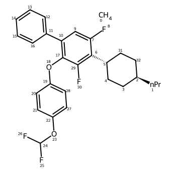 C.CCC[C@H]1CC[C@H](c2c(F)cc(-c3ccccc3)c(Oc3ccc(OC(F)F)cc3)c2F)CC1